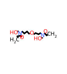 C=CC(=O)N(CO)CCCCOCCCCN(CO)C(=O)C=C